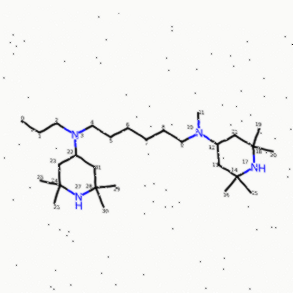 CCCN(CCCCCCN(C)C1CC(C)(C)NC(C)(C)C1)C1CC(C)(C)NC(C)(C)C1